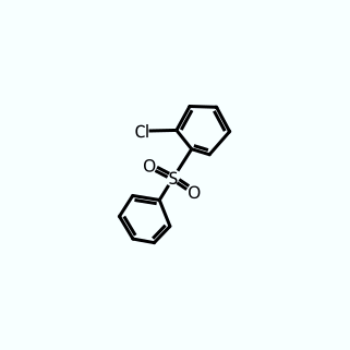 O=S(=O)(c1ccccc1)c1ccccc1Cl